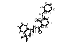 O=C(NNc1ccccc1C(F)(F)F)c1cccn(Cc2ccccc2)c1=O